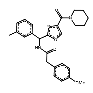 COc1ccc(CC(=O)NC(c2cccc(C)c2)c2nc(C(=O)N3CCCCC3)co2)cc1